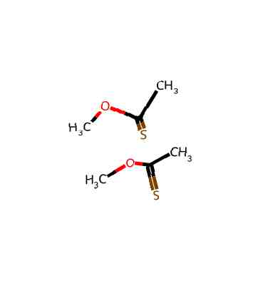 COC(C)=S.COC(C)=S